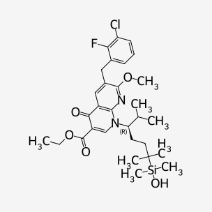 CCOC(=O)c1cn([C@H](CCC(C)(C)[Si](C)(C)O)C(C)C)c2nc(OC)c(Cc3cccc(Cl)c3F)cc2c1=O